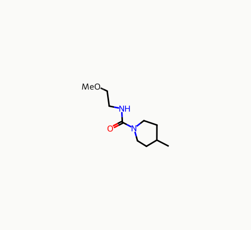 COCCNC(=O)N1CCC(C)CC1